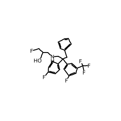 OC(CF)CNCC(Cc1ccccc1)(c1ccc(F)cc1)c1cc(F)cc(C(F)(F)F)c1